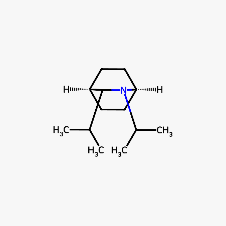 CC(C)C1[C@H]2CC[C@H](CC2)N1C(C)C